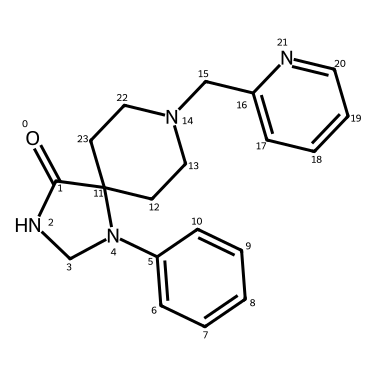 O=C1NCN(c2ccccc2)C12CCN(Cc1ccccn1)CC2